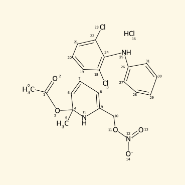 CC(=O)OC1(C)C=CC=C(CO[N+](=O)[O-])N1.Cl.Clc1cccc(Cl)c1Nc1ccccc1